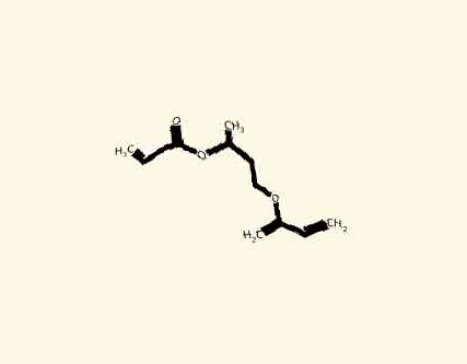 C=CC(=C)OCCC(C)OC(=O)C=C